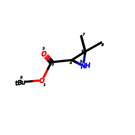 CC(C)(C)OC(=O)C1NC1(C)C